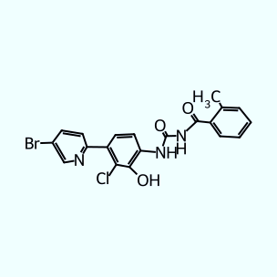 Cc1ccccc1C(=O)NC(=O)Nc1ccc(-c2ccc(Br)cn2)c(Cl)c1O